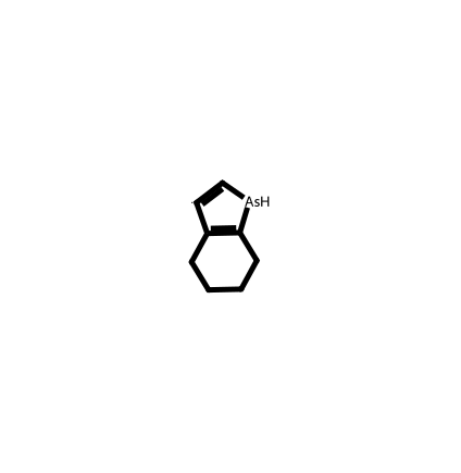 [C]1=C[AsH]C2=C1CCCC2